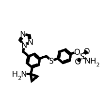 NC1(c2cc(CSc3ccc(OS(N)(=O)=O)cc3)cc(Cn3cncn3)c2)CC1